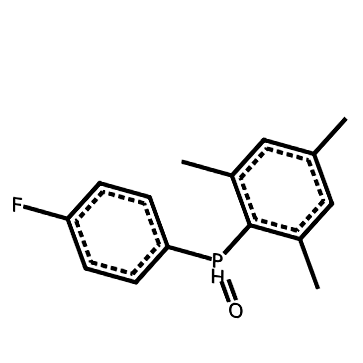 Cc1cc(C)c([PH](=O)c2ccc(F)cc2)c(C)c1